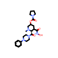 CN1CC(OC(=O)N2CCCC2)CC(C(=O)NO)[C@H]1C(=O)N1CCN(c2ccccc2)CC1